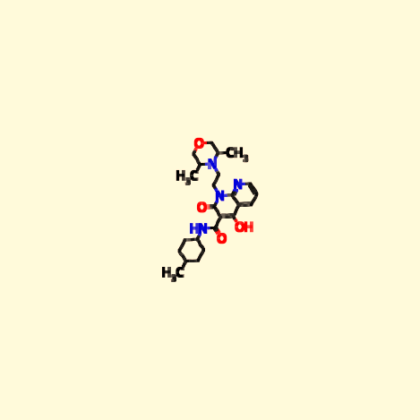 CC1CCC(NC(=O)c2c(O)c3cccnc3n(CCN3C(C)COCC3C)c2=O)CC1